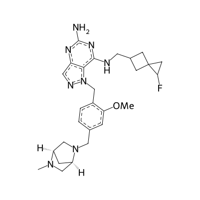 COc1cc(CN2C[C@H]3C[C@@H]2CN3C)ccc1Cn1ncc2nc(N)nc(NCC3CC4(C3)CC4F)c21